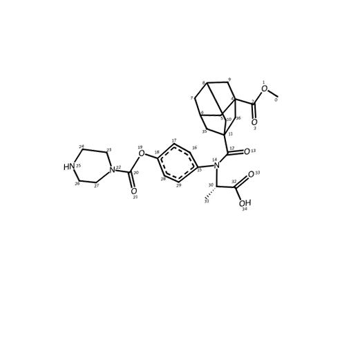 COC(=O)C12CC3CC(C1)CC(C(=O)N(c1ccc(OC(=O)N4CCNCC4)cc1)[C@@H](C)C(=O)O)(C3)C2